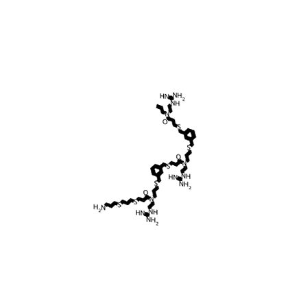 C=CCN(CCNC(=N)N)C(=O)CCSCc1cccc(CSCCCN(CCNC(=N)N)C(=O)CCSCc2cccc(CSCCCN(CCNC(=N)N)C(=O)CCSCCCSCCCN)c2)c1